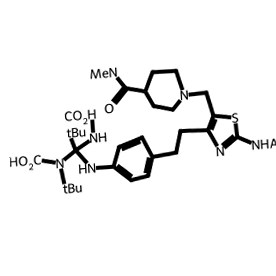 CNC(=O)C1CCN(Cc2sc(NC(C)=O)nc2CCc2ccc(NC(NC(=O)O)(N(C(=O)O)C(C)(C)C)C(C)(C)C)cc2)CC1